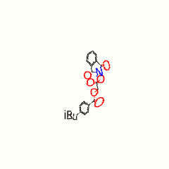 CCC(C)c1ccc(C(=O)OCC(=O)ON2C(=O)c3ccccc3C2=O)cc1